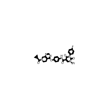 CC(C)n1cc(C(=O)Nc2ccc(Oc3ncnc4c3CCN(C(=O)C3CC3)C4)cc2)c(=O)n(-c2ccc(F)cc2)c1=O